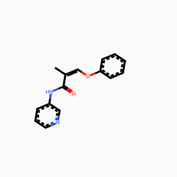 CC(=COc1ccccc1)C(=O)Nc1cccnc1